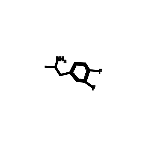 CC(N)Cc1ccc(F)c(F)c1